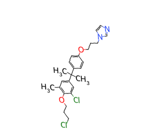 Cc1cc(C(C)(C)c2ccc(OCCCn3ccnc3)cc2)cc(Cl)c1OCCCCl